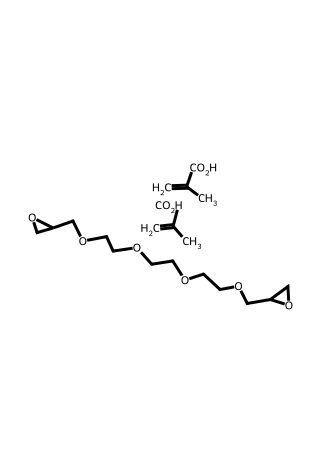 C(COCCOCC1CO1)OCCOCC1CO1.C=C(C)C(=O)O.C=C(C)C(=O)O